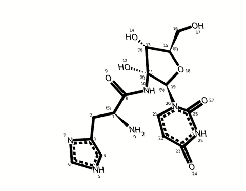 N[C@@H](Cc1c[nH]cn1)C(=O)N[C@@]1(O)[C@H](O)[C@@H](CO)O[C@H]1n1ccc(=O)[nH]c1=O